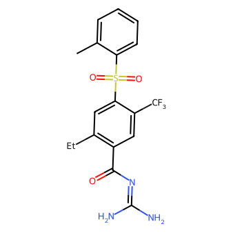 CCc1cc(S(=O)(=O)c2ccccc2C)c(C(F)(F)F)cc1C(=O)N=C(N)N